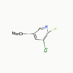 COc1cnc(F)c(Cl)c1